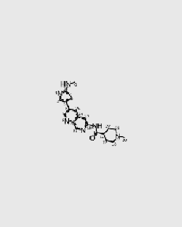 CNc1ncc(-c2cnc3cnc(NC(=O)C4CCN(C)CC4)cc3c2)s1